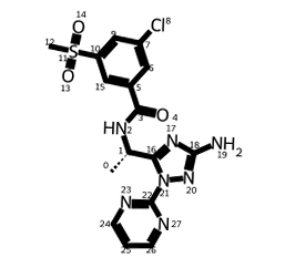 C[C@H](NC(=O)c1cc(Cl)cc(S(C)(=O)=O)c1)c1nc(N)nn1-c1ncccn1